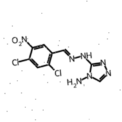 Nn1cnnc1N/N=C/c1cc([N+](=O)[O-])c(Cl)cc1Cl